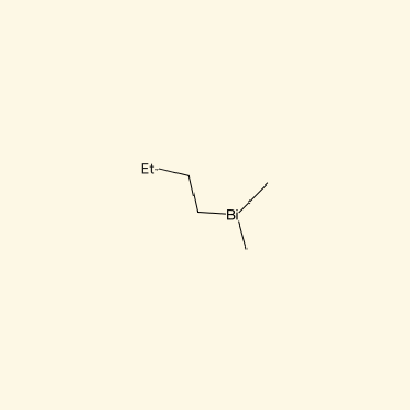 CCC[CH2][Bi]([CH3])[CH3]